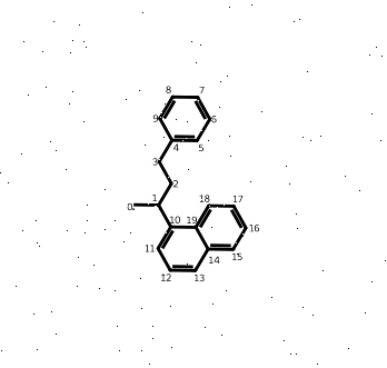 [CH2]C(CCc1ccccc1)c1cccc2ccccc12